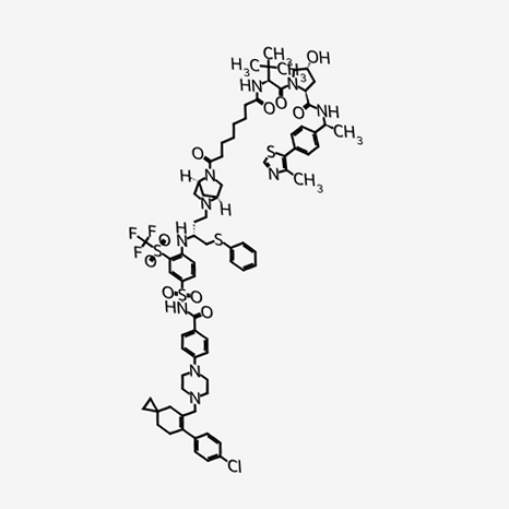 Cc1ncsc1-c1ccc([C@H](C)NC(=O)[C@@H]2C[C@@H](O)CN2C(=O)[C@@H](NC(=O)CCCCCCC(=O)N2C[C@@H]3C[C@H]2CN3CC[C@H](CSc2ccccc2)Nc2ccc(S(=O)(=O)NC(=O)c3ccc(N4CCN(CC5=C(c6ccc(Cl)cc6)CCC6(CC6)C5)CC4)cc3)cc2S(=O)(=O)C(F)(F)F)C(C)(C)C)cc1